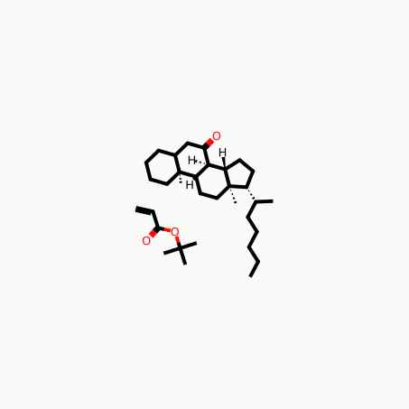 C=CC(=O)OC(C)(C)C.CCCCCC(C)[C@H]1CC[C@H]2[C@@H]3C(=O)CC4CCCC[C@]4(C)[C@H]3CC[C@]12C